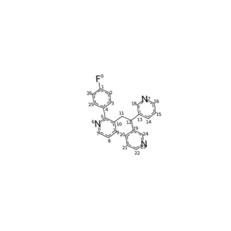 Fc1ccc(-c2ncccc2CC(c2cccnc2)c2cccnc2)cc1